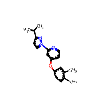 Cc1ccc(Oc2ccnc(-n3ccc(C(C)C)n3)c2)cc1C